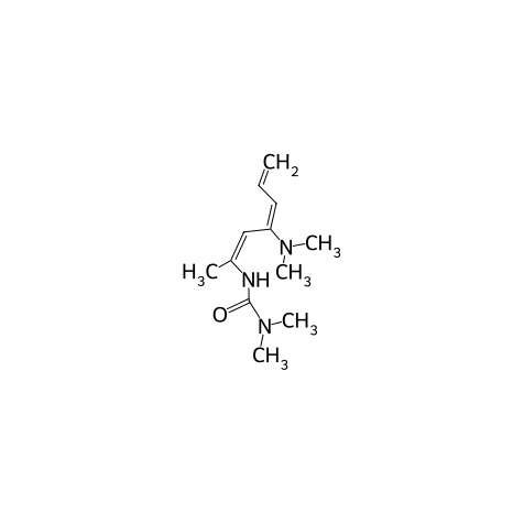 C=C/C=C(\C=C(\C)NC(=O)N(C)C)N(C)C